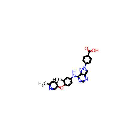 Cc1ccc(Oc2ccc(Nc3ncnc4cn(-c5ccc(C(=O)O)cc5)nc34)cc2C)cn1